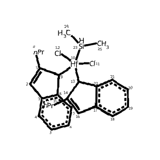 CCCC1=Cc2ccccc2[CH]1[Hf]([Cl])([Cl])([CH]1C(CCC)=Cc2ccccc21)[SiH](C)C